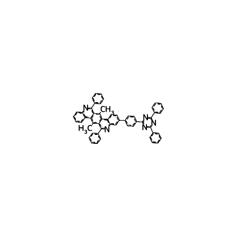 Cc1c2c(-c3ccccc3)nc3cc(-c4ccc(-c5nc(-c6ccccc6)nc(-c6ccccc6)n5)cc4)ccc3c2c(C)c2c(-c3ccccc3)nc3ccccc3c12